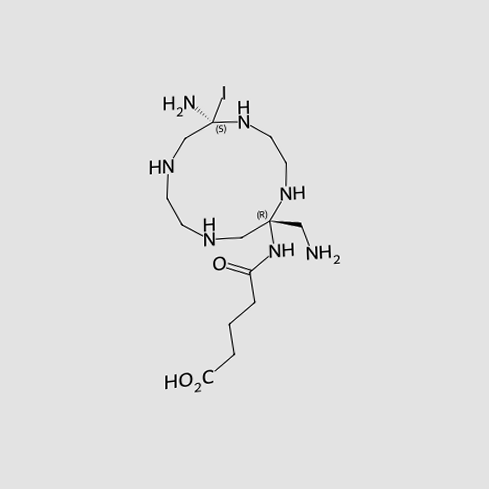 NC[C@@]1(NC(=O)CCCC(=O)O)CNCCNC[C@@](N)(I)NCCN1